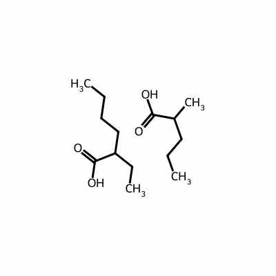 CCCC(C)C(=O)O.CCCCC(CC)C(=O)O